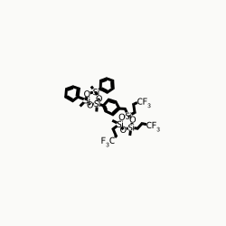 C[Si]1(CCC(F)(F)F)O[Si](C)(CCC(F)(F)F)O[Si](CCC(F)(F)F)(Cc2ccc([Si]3(C)O[Si](C)(c4ccccc4)O[Si](C)(c4ccccc4)O3)cc2)O1